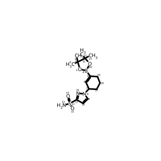 CC1(C)OB(C2=CC(n3ccc(S(N)(=O)=O)n3)CCC2)OC1(C)C